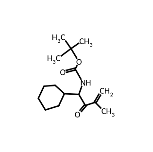 C=C(C)C(=O)C(NC(=O)OC(C)(C)C)C1CCCCC1